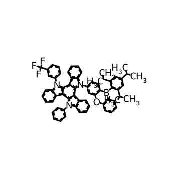 CC(C)c1cc(C(C)C)c(B2c3ccccc3Oc3cc(-n4c5ccccc5c5c6c(c7ccccc7n6-c6cccc(C(F)(F)F)c6)c6c(c7ccccc7n6-c6ccccc6)c54)ccc32)c(C(C)C)c1